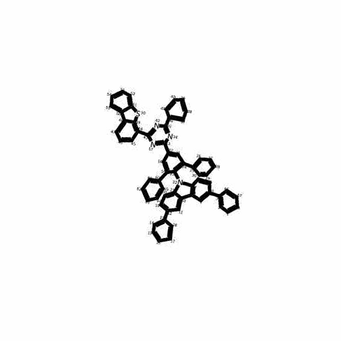 c1ccc(-c2ccc3c(c2)c2cc(-c4ccccc4)ccc2n3-c2c(-c3ccccc3)cc(-c3nc(-c4ccccc4)nc(-c4cccc5c4sc4ccccc45)n3)cc2-c2ccccc2)cc1